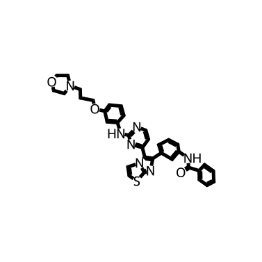 O=C(Nc1cccc(-c2nc3sccn3c2-c2ccnc(Nc3cccc(OCCCN4CCOCC4)c3)n2)c1)c1ccccc1